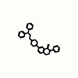 O=C1c2cc(N3CCN(CCC(c4ccccc4)c4ccccc4)CC3)ccc2CCN1c1ccccc1